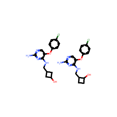 Nc1ncc(Oc2ccc(Cl)cc2)c(NCC2CC(O)C2)n1.Nc1ncc(Oc2ccc(Cl)cc2)c(NCC2CCC2O)n1